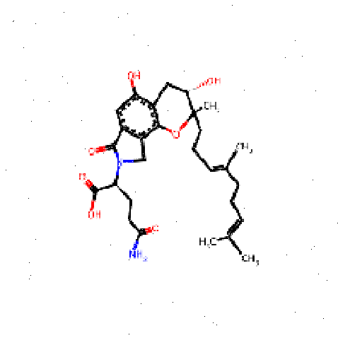 CC(C)=CCC/C(C)=C/CC[C@]1(C)Oc2c(c(O)cc3c2CN([C@@H](CCC(N)=O)C(=O)O)C3=O)C[C@@H]1O